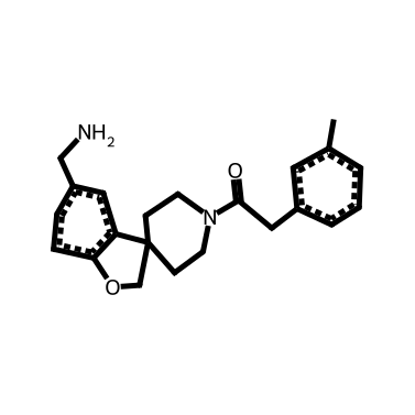 Cc1cccc(CC(=O)N2CCC3(CC2)COc2ccc(CN)cc23)c1